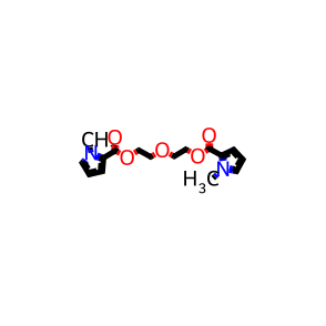 Cn1cccc1C(=O)OCCOCCOC(=O)c1cccn1C